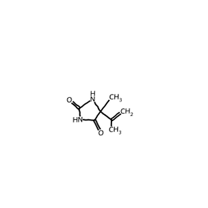 C=C(C)C1(C)NC(=O)NC1=O